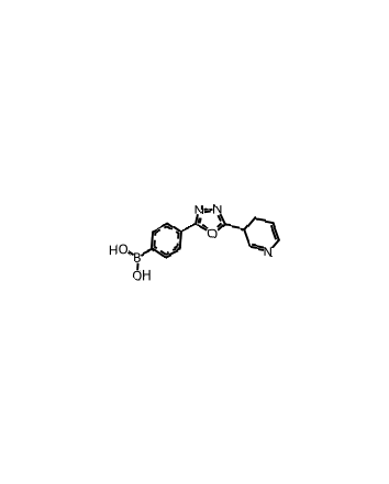 OB(O)c1ccc(-c2nnc(C3C=NC=CC3)o2)cc1